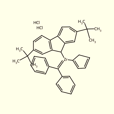 CC(C)(C)c1ccc2c(c1)[CH]([Zr]([C]1=CC=CC1)=[C](c1ccccc1)c1ccccc1)c1cc(C(C)(C)C)ccc1-2.Cl.Cl